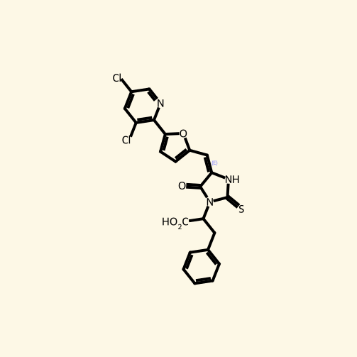 O=C(O)C(Cc1ccccc1)N1C(=O)/C(=C\c2ccc(-c3ncc(Cl)cc3Cl)o2)NC1=S